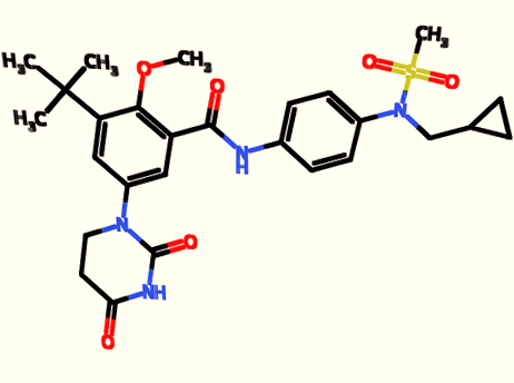 COc1c(C(=O)Nc2ccc(N(CC3CC3)S(C)(=O)=O)cc2)cc(N2CCC(=O)NC2=O)cc1C(C)(C)C